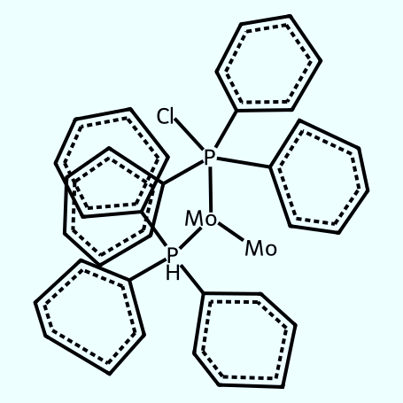 Cl[P](c1ccccc1)(c1ccccc1)(c1ccccc1)[Mo]([Mo])[PH](c1ccccc1)(c1ccccc1)c1ccccc1